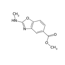 CNc1nc2cc(C(=O)OC)ccc2o1